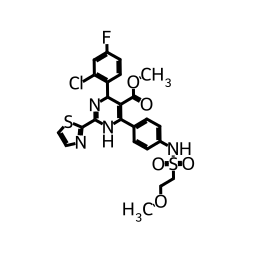 COCCS(=O)(=O)Nc1ccc(C2=C(C(=O)OC)C(c3ccc(F)cc3Cl)N=C(c3nccs3)N2)cc1